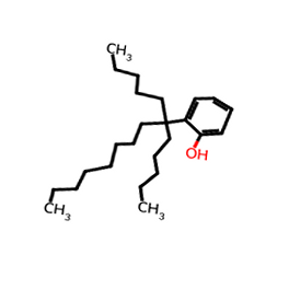 CCCCCCCCC(CCCCC)(CCCCC)c1ccccc1O